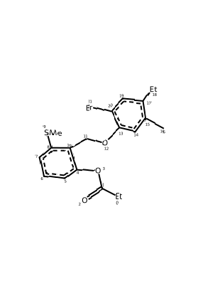 CCC(=O)Oc1cccc(SC)c1COc1cc(C)c(CC)cc1Br